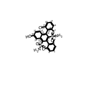 Cc1cccc(Cl)c1-c1c(S(N)(=O)=O)c(-c2c(C)cccc2Cl)c2ccc(O)cc2c1S(N)(=O)=O